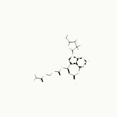 CC(C)C(=O)OCOC(=O)NC1=CC(=O)Nc2ncnc3c2c1cn3C1OC(CO)C(O)C1(C)O